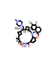 CO[C@@]1(CN2CCN(C)CC2)C2=C[C@@H](C2)[C@H](C)[C@@H](C)S(=O)(=O)NC(=O)c2ccc3c(c2)N(C[C@@H]2CC[C@H]21)C[C@@]1(CCCc2c1ccc(Cl)c2F)CO3